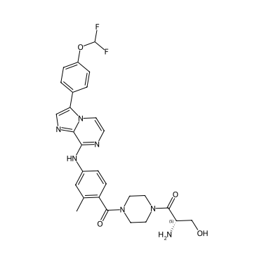 Cc1cc(Nc2nccn3c(-c4ccc(OC(F)F)cc4)cnc23)ccc1C(=O)N1CCN(C(=O)[C@@H](N)CO)CC1